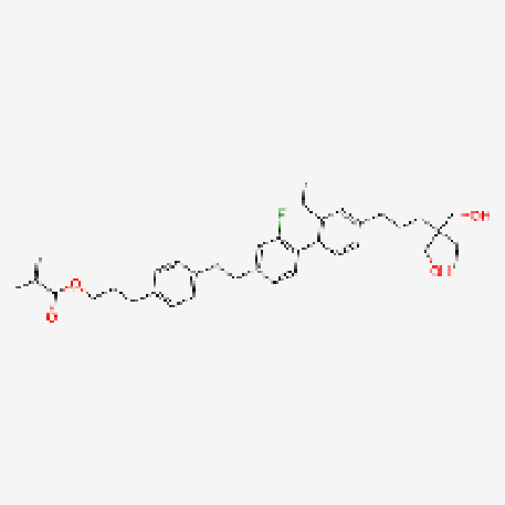 C=C(C)C(=O)OCCCc1ccc(CCc2ccc(-c3ccc(CCCC(CC)(CO)CO)cc3CC)c(F)c2)cc1